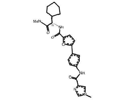 CNC(=O)[C@@H](NC(=O)c1ccc(-c2ccc(NC(=O)c3cn(C)cn3)cc2)o1)C1CCCCC1